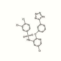 O=S(=O)(Nc1cc(Cl)cnc1Oc1cccc(-c2nnn[nH]2)c1)c1ccc(Cl)c(Cl)c1